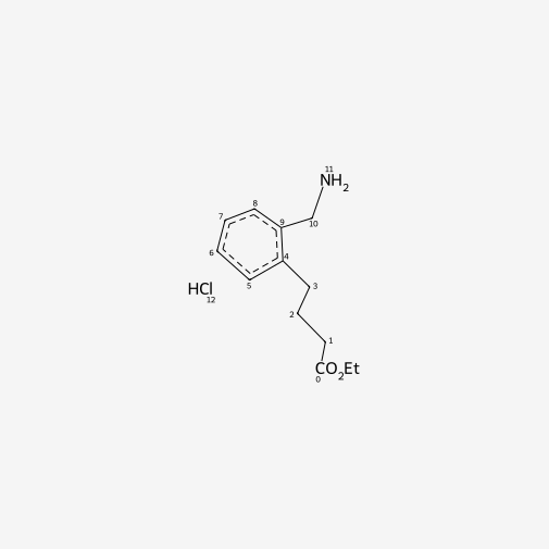 CCOC(=O)CCCc1ccccc1CN.Cl